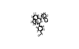 CCc1ccc(C2CC(N3CCCC3=O)c3cccc4c3N2CC4)cc1